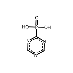 O=P(O)(O)c1ncncn1